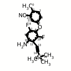 Cc1ccc(Oc2c(F)cc(N)c(C#C[Si](C)(C)C)c2F)cc1C#N